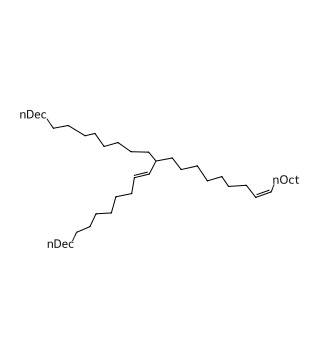 CCCCCCCC/C=C\CCCCCCCC(C=CCCCCCCCCCCCCCCCC)CCCCCCCCCCCCCCCCCC